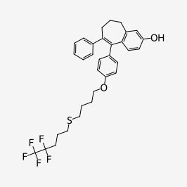 Oc1ccc2c(c1)CCCC(c1ccccc1)=C2c1ccc(OCCCCSCCCC(F)(F)C(F)(F)F)cc1